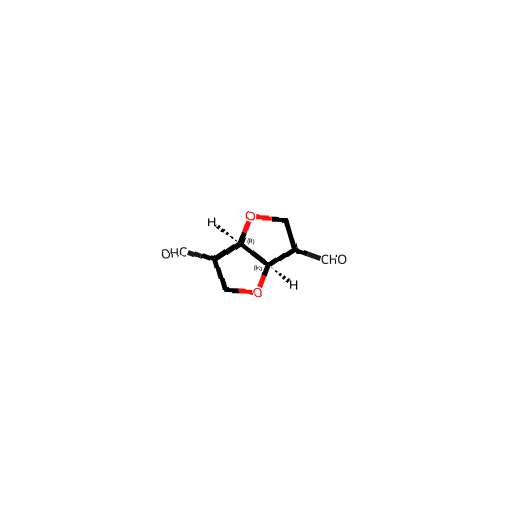 O=CC1CO[C@@H]2C(C=O)CO[C@H]12